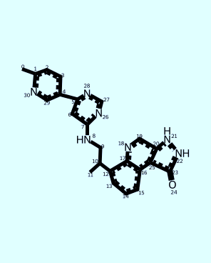 Cc1ccc(-c2cc(NCC(C)c3cccc4c3ncc3[nH][nH]c(=O)c34)ncn2)cn1